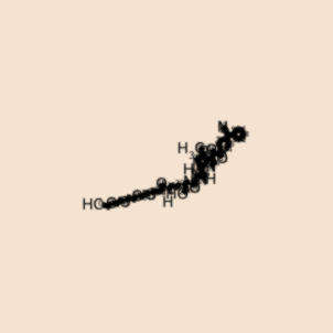 C#CCOCCOCCOCCOCCC(=O)NCCC[C@@H](CO)NC(=O)c1ncn(-c2ncc(OC)c3c(C(=O)C(=O)N4CCC(=C(C#N)c5ccccc5)CC4)c[nH]c23)n1